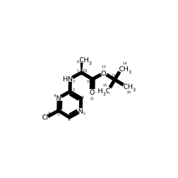 C[C@H](Nc1cncc(Cl)n1)C(=O)OC(C)(C)C